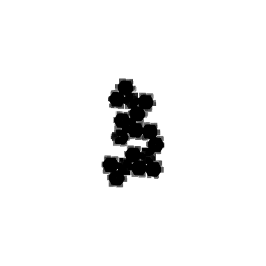 c1ccc(-c2nc(-c3cccc(-c4cccc(-c5ccc6c(-c7cccnc7)c7ccccc7c(-c7cccc(-c8nc(-c9ccccc9)c(-c9ccccc9)nc8-c8ccccc8)c7)c6c5)c4)c3)nc(-c3cccc(-c4nc(-c5ccccc5)c(-c5ccccc5)nc4-c4ccccc4)c3)n2)cc1